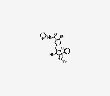 CC(C)CC[C@]1(c2ccccc2)NC(=N)N(Cc2ccc(C(C)(C)C)c(C(=O)NCc3cccnc3)c2)C1=O